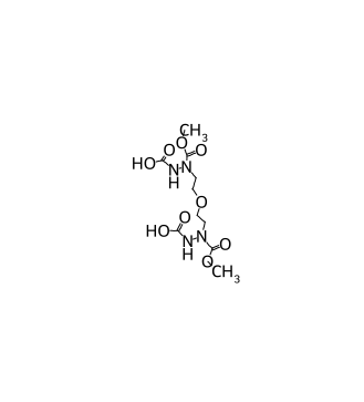 COC(=O)N(CCOCCN(NC(=O)O)C(=O)OC)NC(=O)O